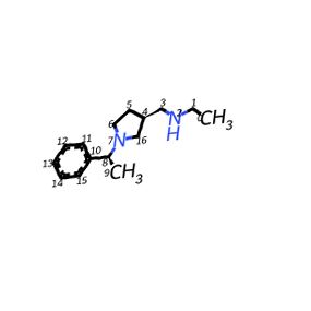 CCNC[C@@H]1CCN([C@@H](C)c2ccccc2)C1